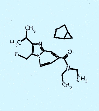 C1CC2CC2C1.CCN(CC)C(=O)c1ccn2c(CF)c(C(C)C)nc2c1